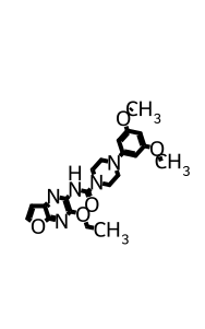 CCOc1nc2occc2nc1NC(=O)N1CCN(c2cc(OC)cc(OC)c2)CC1